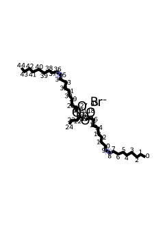 CCCCCCCC/C=C\CCCCCCCC(=O)O[N+](C)(CCC)OC(=O)CCCCCCC/C=C\CCCCCCCC.[Br-]